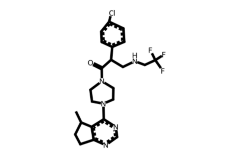 CC1CCc2ncnc(N3CCN(C(=O)C(CNCC(F)(F)F)c4ccc(Cl)cc4)CC3)c21